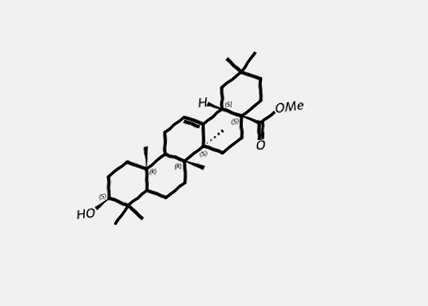 COC(=O)[C@]12CCC(C)(C)C[C@H]1C1=CCC3[C@@]4(C)CC[C@H](O)C(C)(C)C4CC[C@@]3(C)[C@]1(C)CC2